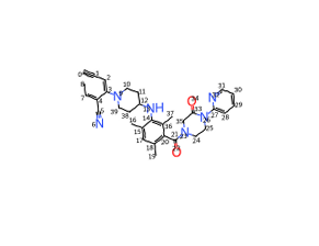 C#C/C=C(\C(C#N)=C/C)N1CCC(Nc2c(C)cc(C)c(C(=O)N3CCN(c4ccccn4)C(=O)C3)c2C)CC1